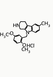 COc1ccc(OC)c(Cn2c3c(c4cc(C)ccc42)CCNC3)c1.Cl